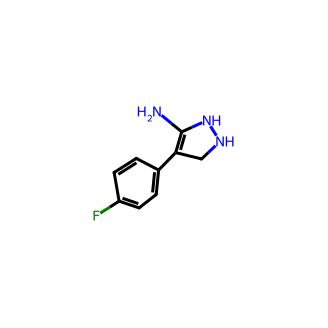 NC1=C(c2ccc(F)cc2)CNN1